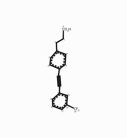 O=C(O)CCc1ccc(C#Cc2cccc(C(F)(F)F)c2)cc1